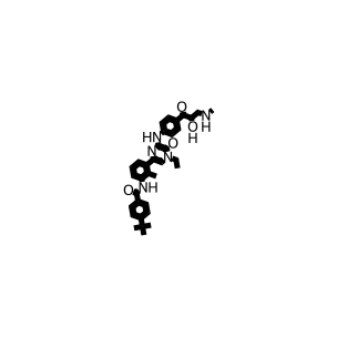 CCn1cc(-c2cccc(NC(=O)c3ccc(C(C)(C)C)cc3)c2C)nc(Nc2ccc(C(=O)C(O)CNC)cc2)c1=O